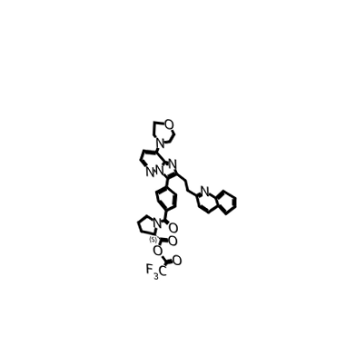 O=C(OC(=O)C(F)(F)F)[C@@H]1CCCN1C(=O)c1ccc(-c2c(CCc3ccc4ccccc4n3)nc3c(N4CCOCC4)ccnn23)cc1